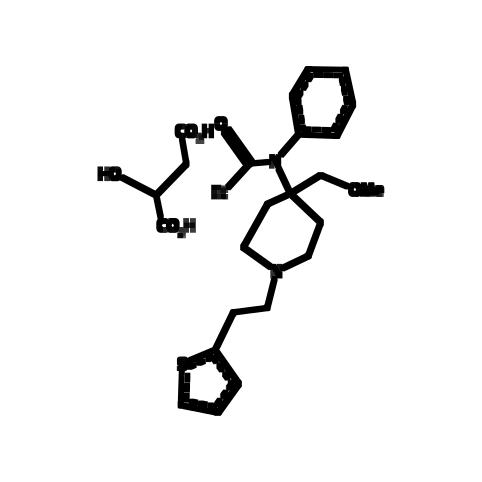 CCC(=O)N(c1ccccc1)C1(COC)CCN(CCc2cccs2)CC1.O=C(O)CC(O)C(=O)O